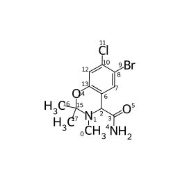 CN1C(C(N)=O)c2cc(Br)c(Cl)cc2OC1(C)C